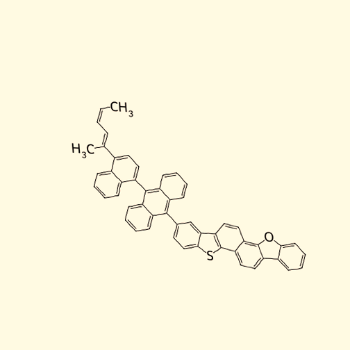 C/C=C\C=C(/C)c1ccc(-c2c3ccccc3c(-c3ccc4sc5c(ccc6c5ccc5c7ccccc7oc56)c4c3)c3ccccc23)c2ccccc12